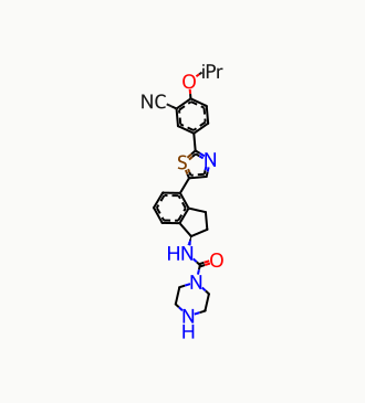 CC(C)Oc1ccc(-c2ncc(-c3cccc4c3CC[C@H]4NC(=O)N3CCNCC3)s2)cc1C#N